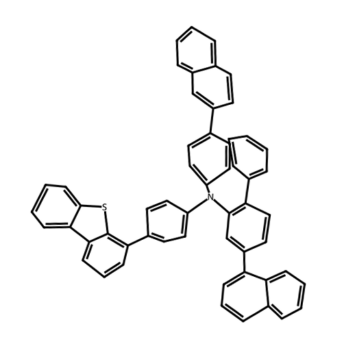 c1ccc(-c2ccc(-c3cccc4ccccc34)cc2N(c2ccc(-c3ccc4ccccc4c3)cc2)c2ccc(-c3cccc4c3sc3ccccc34)cc2)cc1